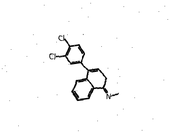 CN=C1CC=C(c2ccc(Cl)c(Cl)c2)c2ccccc21